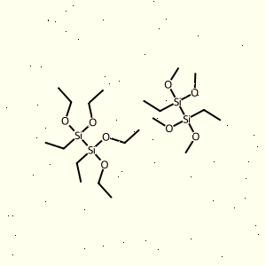 CCO[Si](CC)(OCC)[Si](CC)(OCC)OCC.CC[Si](OC)(OC)[Si](CC)(OC)OC